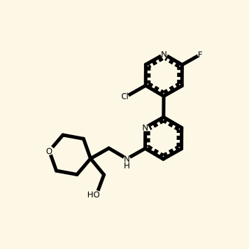 OCC1(CNc2cccc(-c3cc(F)ncc3Cl)n2)CCOCC1